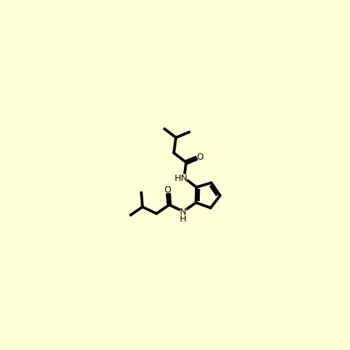 CC(C)CC(=O)NC1=C(NC(=O)CC(C)C)CC=C1